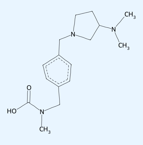 CN(Cc1ccc(CN2CCC(N(C)C)C2)cc1)C(=O)O